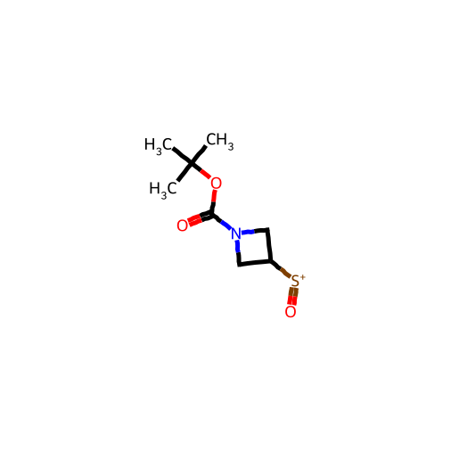 CC(C)(C)OC(=O)N1CC([S+]=O)C1